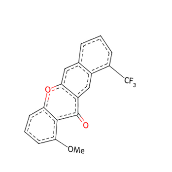 COc1cccc2oc3cc4cccc(C(F)(F)F)c4cc3c(=O)c12